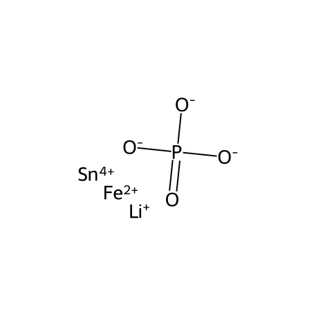 O=P([O-])([O-])[O-].[Fe+2].[Li+].[Sn+4]